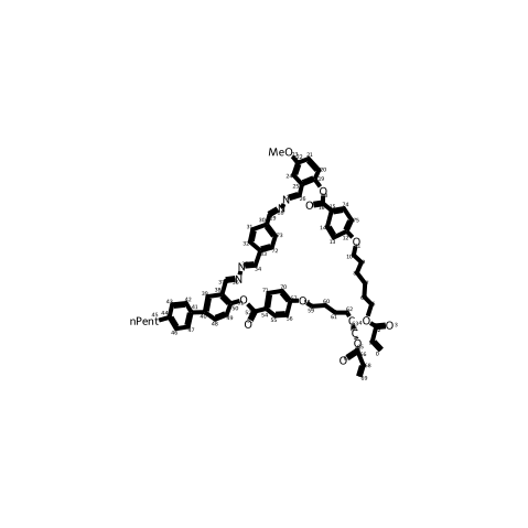 C=CC(=O)OCCCCCCOc1ccc(C(=O)Oc2ccc(OC)cc2/C=N/N=C/c2ccc(/C=N/N=C/c3cc(-c4ccc(CCCCC)cc4)ccc3OC(=O)c3ccc(OCCCCCCOC(=O)C=C)cc3)cc2)cc1